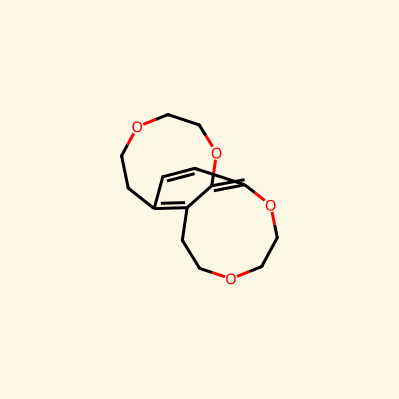 c1cc2c3c(c1CCOCCO3)CCOCCO2